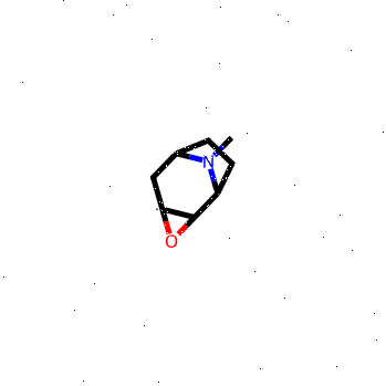 CN1C2CCC1C1O[C]1C2